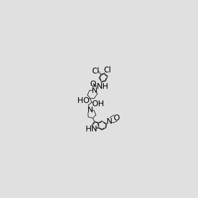 O=C(Nc1ccc(Cl)c(Cl)c1)N1CCC(O)(C(O)CN2CCC(c3c[nH]c4ccc(N5CCOCC5)cc34)CC2)CC1